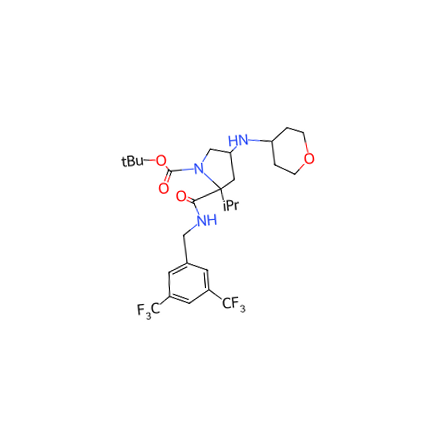 CC(C)C1(C(=O)NCc2cc(C(F)(F)F)cc(C(F)(F)F)c2)CC(NC2CCOCC2)CN1C(=O)OC(C)(C)C